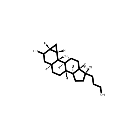 C[C@]12[C@@H](CC[C@@H]3[C@@H]1CC[C@@]1(C)[C@H]3CC[C@@]1(O)CCCO)CC(O)[C@@H]1C[C@@H]12